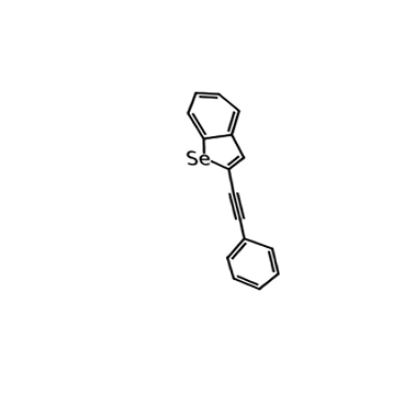 C(#Cc1cc2ccccc2[se]1)c1ccccc1